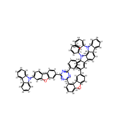 c1ccc(-c2nc(-c3ccc4c(c3)oc3cc(-n5c6ccccc6c6ccccc65)ccc34)nc(-c3cccc4oc5ccc(-c6ccc7c(c6)c6ccc8c9ccccc9n(-c9ccccc9)c8c6n7-c6ccccc6)cc5c34)n2)cc1